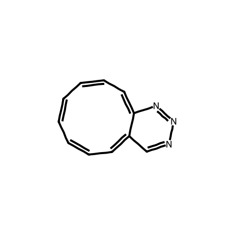 c1ccccc2nnncc2ccc1